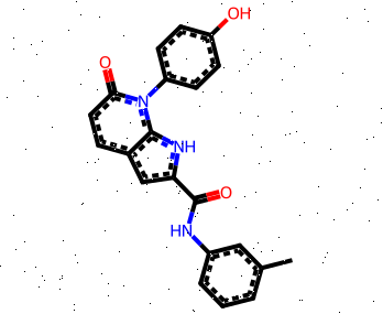 Cc1cccc(NC(=O)c2cc3ccc(=O)n(-c4ccc(O)cc4)c3[nH]2)c1